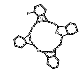 Fc1cccc2c3nc4nc(nc5[nH]c(nc6nc(nc([nH]3)c12)-c1ccccc1-6)c1ccccc51)-c1ccccc1-4